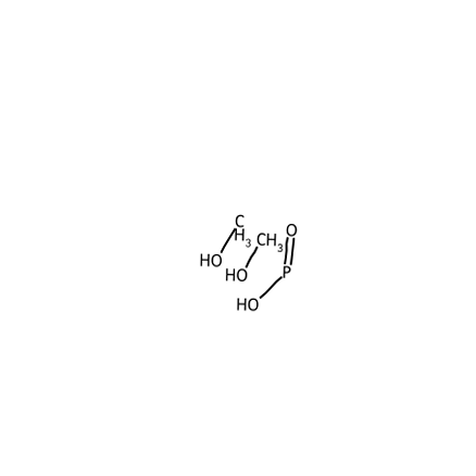 CO.CO.O=PO